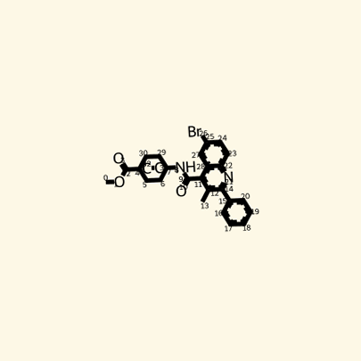 COC(=O)C12CCC(NC(=O)c3c(C)c(-c4ccccc4)nc4ccc(Br)cc34)(CC1)CC2